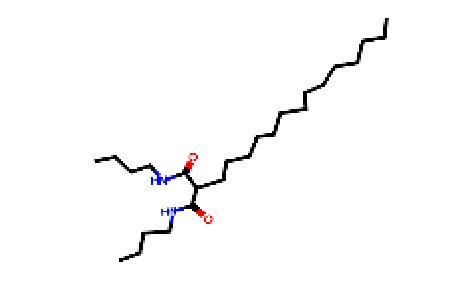 CCCCCCCCCCCCCCC(C(=O)NCCCC)C(=O)NCCCC